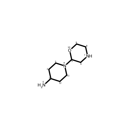 NC1CCN(C2CNCCO2)CC1